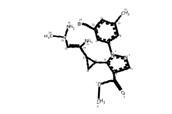 COC(=O)c1cnn(-c2cc(C)cc(Br)c2)c1C1CC1/C(N)=C/N(C)N